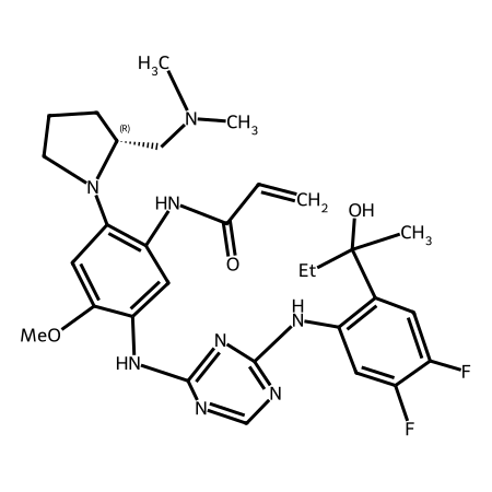 C=CC(=O)Nc1cc(Nc2ncnc(Nc3cc(F)c(F)cc3C(C)(O)CC)n2)c(OC)cc1N1CCC[C@@H]1CN(C)C